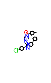 Cc1ccc(C(=O)N2CCN(Cc3c(-c4ccc(Cl)cc4)nc4ccc(-c5ccccc5)cn34)CC2)cc1